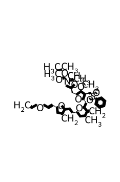 C=CCOC/C=C/[C@H]1CC(=C)C(CC[C@H]2C[C@@H](C)C(=C)C(C[C@@H]3O[C@H](C[C@H]4CN(C(=O)OC(C)(C)C)C(C)(C)O4)[C@H](OC)[C@H]3CS(=O)(=O)c3ccccc3)O2)O1